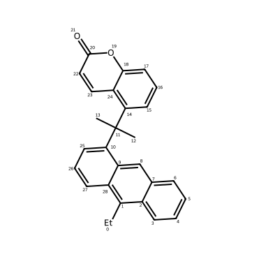 CCc1c2ccccc2cc2c(C(C)(C)c3cccc4oc(=O)ccc34)cccc12